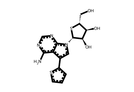 Nc1ncnc2c1c(-c1cccs1)cn2[C@@H]1S[C@H](CO)[C@@H](O)[C@H]1O